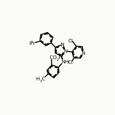 Cc1ccc(Nc2cc(-c3cccc(C(C)C)c3)nn2-c2c(Cl)cncc2Cl)c(C(=O)O)c1